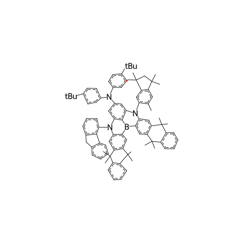 Cc1cc2c(cc1N1c3cc4c(cc3B3c5cc6c(cc5N(c5cccc7c5-c5ccccc5C7)c5cc(N(c7ccc(C(C)(C)C)cc7)c7ccc(C(C)(C)C)cc7)cc1c53)C(C)(C)c1ccccc1C6(C)C)C(C)(C)c1ccccc1C4(C)C)C(C)(C)CC2(C)C